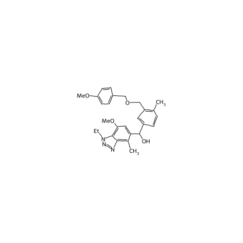 CCn1nnc2c(C)c(C(O)c3ccc(C)c(COCc4ccc(OC)cc4)c3)cc(OC)c21